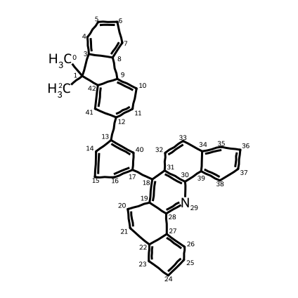 CC1(C)c2ccccc2-c2ccc(-c3cccc(-c4c5ccc6ccccc6c5nc5c4ccc4ccccc45)c3)cc21